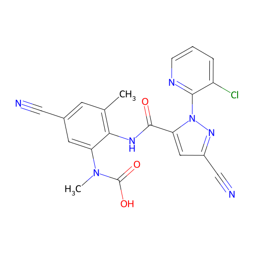 Cc1cc(C#N)cc(N(C)C(=O)O)c1NC(=O)c1cc(C#N)nn1-c1ncccc1Cl